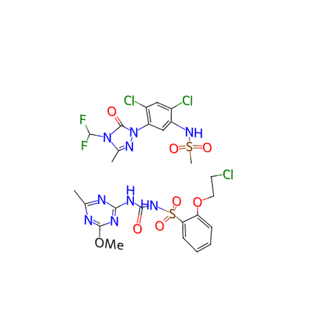 COc1nc(C)nc(NC(=O)NS(=O)(=O)c2ccccc2OCCCl)n1.Cc1nn(-c2cc(NS(C)(=O)=O)c(Cl)cc2Cl)c(=O)n1C(F)F